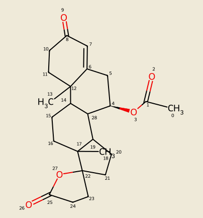 CC(=O)O[C@@H]1CC2=CC(=O)CCC2(C)C2CCC3(C)C(CCC34CCC(=O)O4)C21